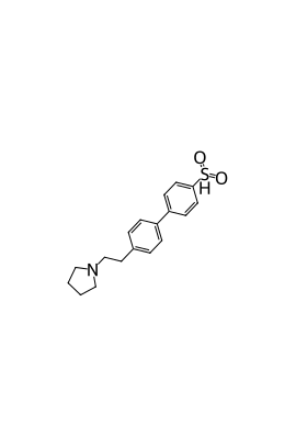 O=[SH](=O)c1ccc(-c2ccc(CCN3CCCC3)cc2)cc1